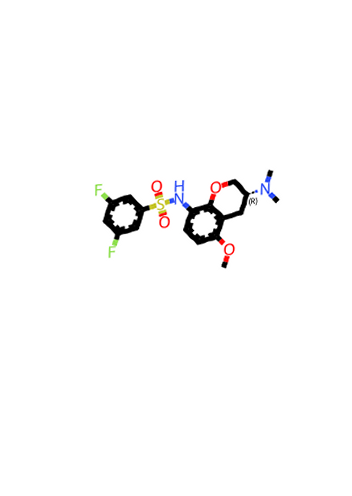 COc1ccc(NS(=O)(=O)c2cc(F)cc(F)c2)c2c1C[C@@H](N(C)C)CO2